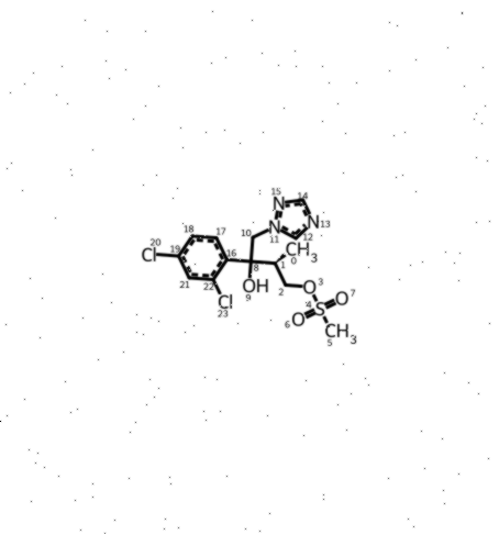 C[C@@H](COS(C)(=O)=O)C(O)(Cn1cncn1)c1ccc(Cl)cc1Cl